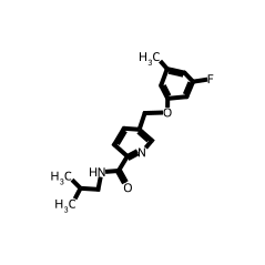 Cc1cc(F)cc(OCc2ccc(C(=O)NCC(C)C)nc2)c1